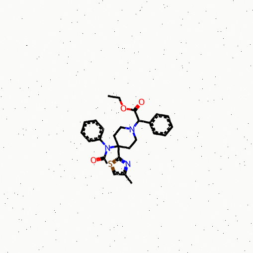 CCOC(=O)C(c1ccccc1)N1CCC(c2nc(C)cs2)(N(C(C)=O)c2ccccc2)CC1